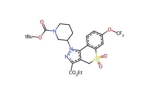 CCOC(=O)c1nn(C2CCCN(C(=O)OC(C)(C)C)C2)c2c1CS(=O)(=O)c1cc(OC(F)(F)F)ccc1-2